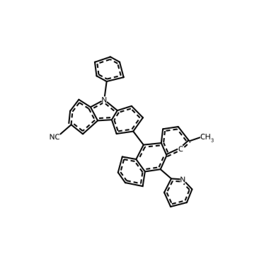 Cc1ccc2c(-c3ccc4c(c3)c3cc(C#N)ccc3n4-c3ccccc3)c3ccccc3c(-c3ccccn3)c2c1